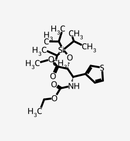 CCOC(=O)N[C@@H](c1ccsc1)[C@@H](O[Si](C(C)C)(C(C)C)C(C)C)C(=O)OC